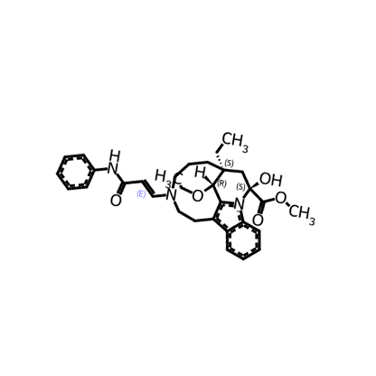 CCO[C@H]1c2c3c4ccccc4n2[C@@](O)(C(=O)OC)C[C@]1(CC)CCCN(/C=C/C(=O)Nc1ccccc1)CC3